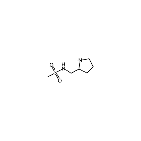 CS(=O)(=O)NCC1CCC[N]1